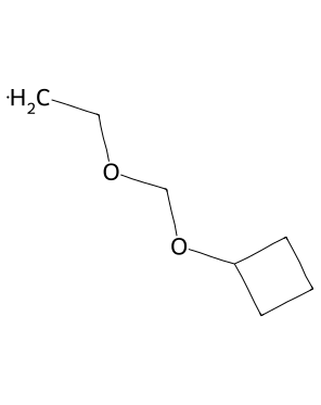 [CH2]COCOC1CCC1